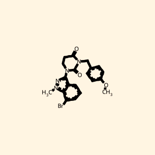 COc1ccc(CN2C(=O)CCN(c3nn(C)c4c(Br)cccc34)C2=O)cc1